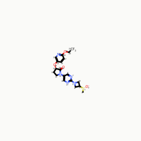 C[S+]([O-])C1CN(c2ncc(N3CC[C@@H](Oc4ccc(OCC(F)(F)F)nc4)C3=O)cn2)C1